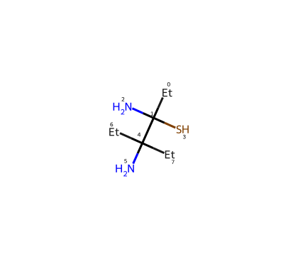 CCC(N)(S)C(N)(CC)CC